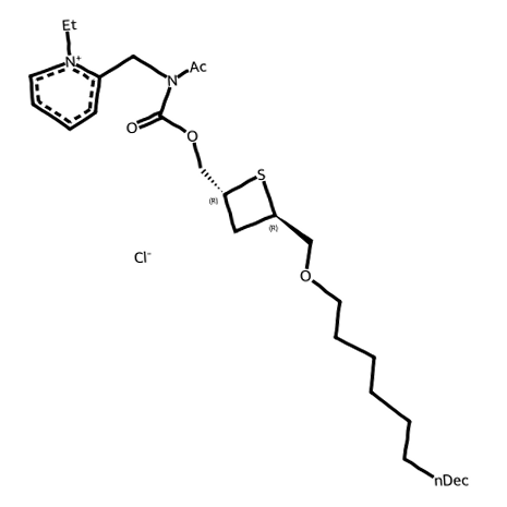 CCCCCCCCCCCCCCCCOC[C@H]1C[C@H](COC(=O)N(Cc2cccc[n+]2CC)C(C)=O)S1.[Cl-]